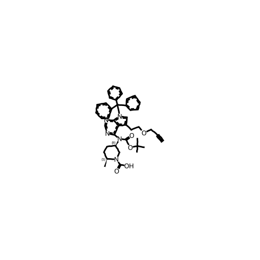 C#CCOCCc1cn(C(c2ccccc2)(c2ccccc2)c2ccccc2)c2ncnc(N(C(=O)OC(C)(C)C)[C@@H]3CC[C@H](C)N(C(=O)O)C3)c12